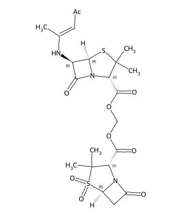 CC(=O)C=C(C)N[C@@H]1C(=O)N2[C@@H]1SC(C)(C)[C@@H]2C(=O)OCOC(=O)[C@@H]1N2C(=O)C[C@H]2S(=O)(=O)C1(C)C